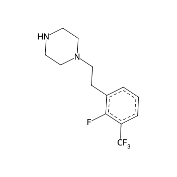 Fc1c(CCN2CCNCC2)cccc1C(F)(F)F